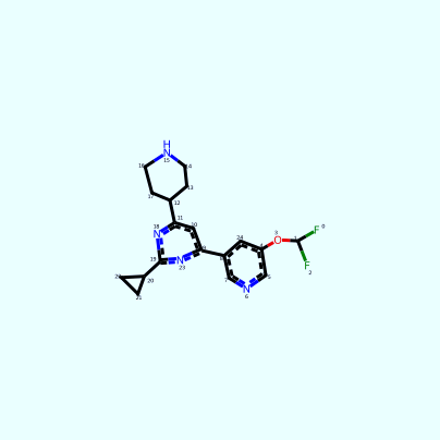 FC(F)Oc1cncc(-c2cc(C3CCNCC3)nc(C3CC3)n2)c1